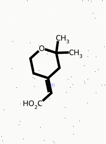 CC1(C)C/C(=C/C(=O)O)CCO1